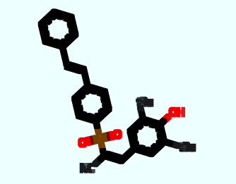 CC(C)(C)c1cc(/C=C(/C#N)S(=O)(=O)c2ccc(/C=C/c3ccccc3)cc2)cc(C(C)(C)C)c1O